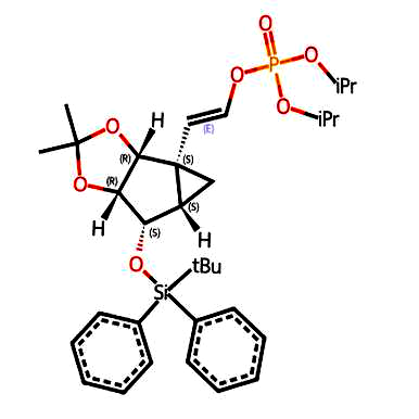 CC(C)OP(=O)(O/C=C/[C@]12C[C@@H]1[C@H](O[Si](c1ccccc1)(c1ccccc1)C(C)(C)C)[C@@H]1OC(C)(C)O[C@@H]12)OC(C)C